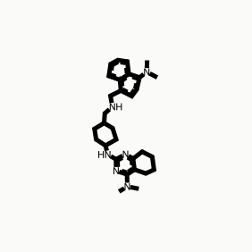 CN(C)c1nc(NC2CCC(CNCc3ccc(N(C)C)c4ccccc34)CC2)nc2c1CCCC2